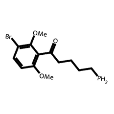 COc1ccc(Br)c(OC)c1C(=O)CCCCP